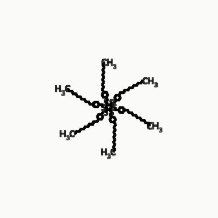 CCCCCCCCCCCCC1CCC(CSc2c(SCC3CCC(CCCCCCCCCCCC)CC3)c(SCC3CCC(CCCCCCCCCCCC)CC3)c(SCC3CCC(CCCCCCCCCCCC)CC3)c(SCC3CCC(CCCCCCCCCCCC)CC3)c2SCC2CCC(CCCCCCCCCCCC)CC2)CC1